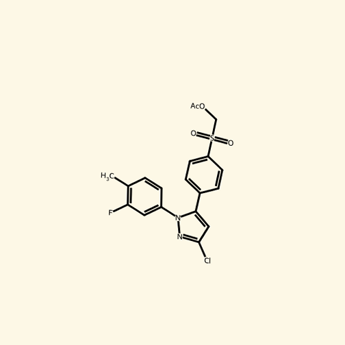 CC(=O)OCS(=O)(=O)c1ccc(-c2cc(Cl)nn2-c2ccc(C)c(F)c2)cc1